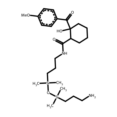 COc1ccc(C(=O)C2(O)CCCCC2C(=O)NCCC[Si](C)(C)O[Si](C)(C)CCCN)cc1